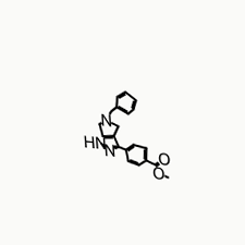 COC(=O)c1ccc(-c2n[nH]c3c2CN(Cc2ccccc2)C3)cc1